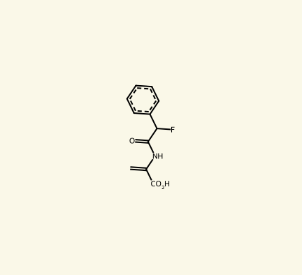 C=C(NC(=O)C(F)c1ccccc1)C(=O)O